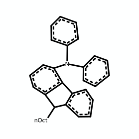 CCCCCCCCC1c2ccccc2-c2c1cccc2N(c1ccccc1)c1ccccc1